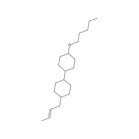 C/C=C/CC1CCC(C2CCC(OCCCCC)CC2)CC1